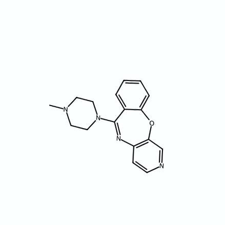 CN1CCN(C2=Nc3ccncc3Oc3ccccc32)CC1